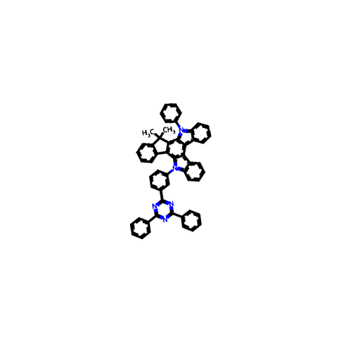 CC1(C)c2ccccc2-c2c1c1c(c3ccccc3n1-c1ccccc1)c1c3ccccc3n(-c3cccc(-c4nc(-c5ccccc5)nc(-c5ccccc5)n4)c3)c21